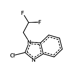 FC(F)Cn1c(Cl)nc2ccccc21